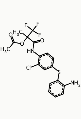 CC(=O)OC(C)(C(=O)Nc1ccc(Sc2ccccc2N)cc1Cl)C(F)(F)F